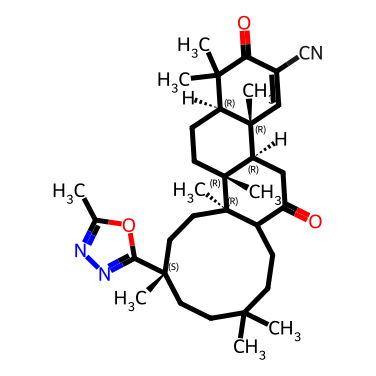 Cc1nnc([C@@]2(C)CCC(C)(C)CCC3C(=O)C[C@@H]4[C@@]5(C)C=C(C#N)C(=O)C(C)(C)[C@@H]5CC[C@@]4(C)[C@]3(C)CC2)o1